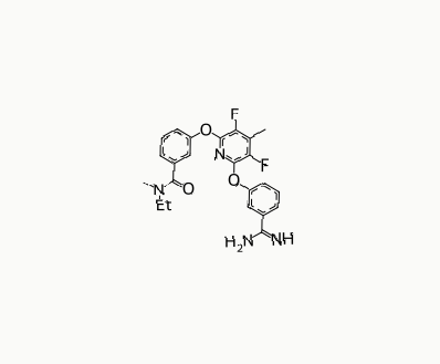 CCN(C)C(=O)c1cccc(Oc2nc(Oc3cccc(C(=N)N)c3)c(F)c(C)c2F)c1